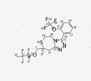 CC1(CO[Si](C)(C)C(C)(C)C)Cc2nnc(-c3ccccc3OC(F)(F)F)n2CCS1